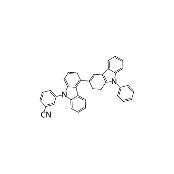 N#Cc1cccc(-n2c3ccccc3c3c(C4=Cc5c(n(-c6ccccc6)c6ccccc56)CC4)cccc32)c1